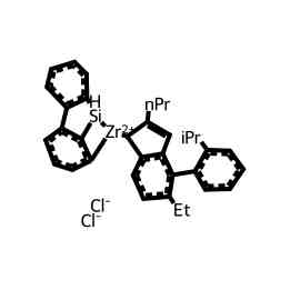 CCCC1=Cc2c(ccc(CC)c2-c2ccccc2C(C)C)[CH]1[Zr+2]1[c]2cccc3c2[SiH]1c1ccccc1-3.[Cl-].[Cl-]